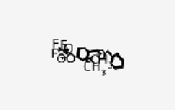 CC1(C)CC(OS(=O)(=O)C(F)(F)F)=CCC1COCc1ccccc1